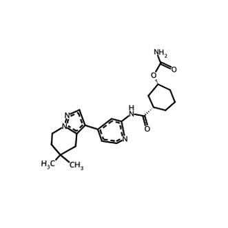 CC1(C)CCn2ncc(-c3ccnc(NC(=O)[C@H]4CCC[C@@H](OC(N)=O)C4)c3)c2C1